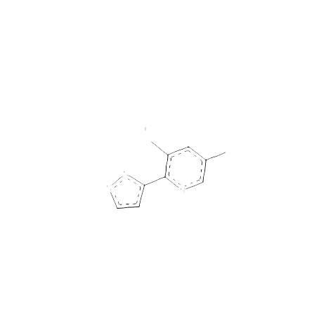 Cc1cnc(-c2ccn[nH]2)c(C)c1.[Ir+3]